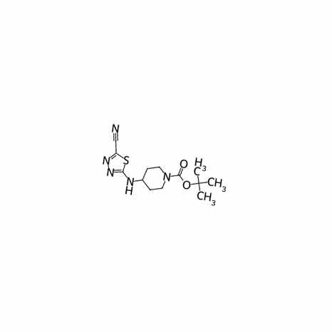 CC(C)(C)OC(=O)N1CCC(Nc2nnc(C#N)s2)CC1